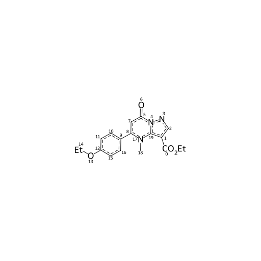 CCOC(=O)c1cnn2c(=O)cc(-c3ccc(OCC)cc3)n(C)c12